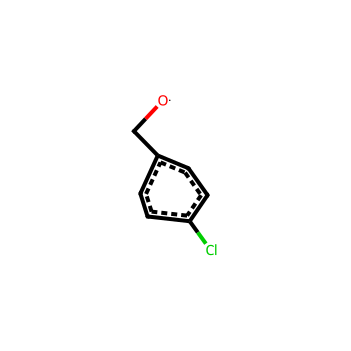 [O]Cc1ccc(Cl)cc1